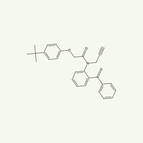 C#CCN(C(=O)COc1ccc(C(C)(C)C)cc1)c1ccccc1C(=O)c1ccccc1